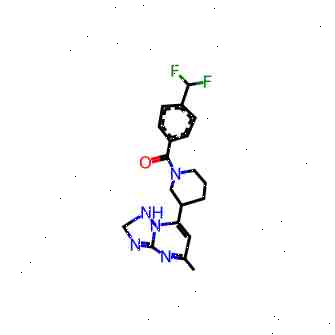 CC1=NC2=NCNN2C(C2CCCN(C(=O)c3ccc(C(F)F)cc3)C2)=C1